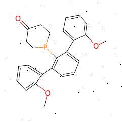 COc1ccccc1-c1cccc(-c2ccccc2OC)c1P1CCC(=O)CC1